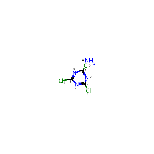 Clc1nc(Cl)nc(Cl)n1.N